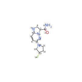 NC(=O)C1CN=C2C=CC(N3CCC(F)C3)=NN21